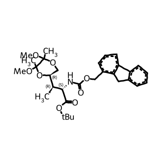 COC1(C)OC[C@@H]([C@H](C)[C@H](NC(=O)OCc2cccc3c2Cc2ccccc2-3)C(=O)OC(C)(C)C)OC1(C)OC